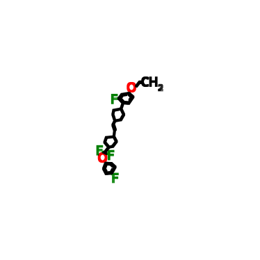 C=CCOc1ccc(C2CCC(/C=C/C3CCC(C(F)(F)Oc4ccc(F)cc4)CC3)CC2)c(F)c1